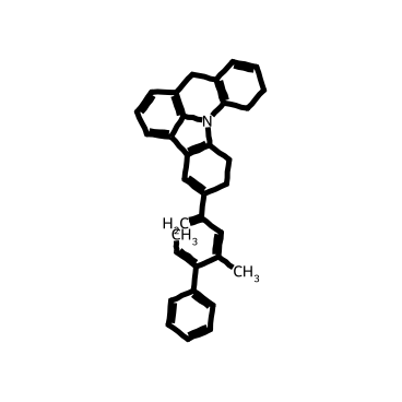 C=C(/C=C(C)\C(=C/C)c1ccccc1)C1=Cc2c(n3c4c(cccc24)CC2=C3CCC=C2)CC1